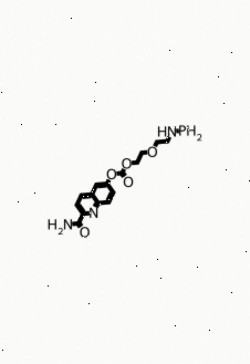 NC(=O)c1ccc2cc(OC(=O)OCCOCCNP)ccc2n1